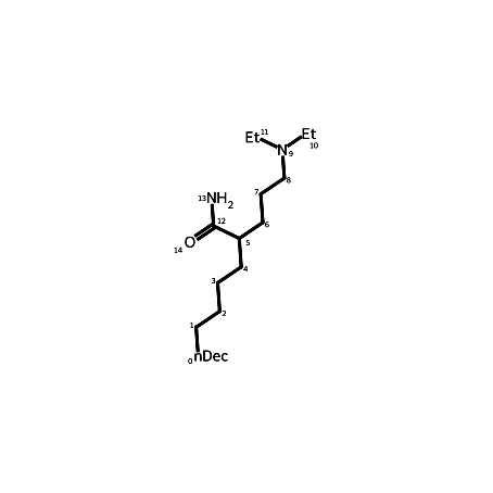 CCCCCCCCCCCCCCC(CCCN(CC)CC)C(N)=O